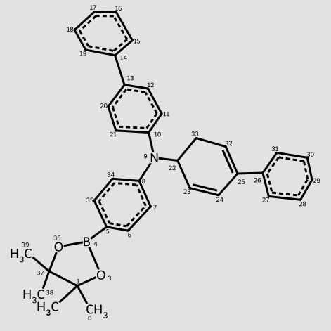 CC1(C)OB(c2ccc(N(c3ccc(-c4ccccc4)cc3)C3C=CC(c4ccccc4)=CC3)cc2)OC1(C)C